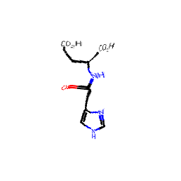 O=C(O)C[C@H](NC(=O)c1c[nH]cn1)C(=O)O